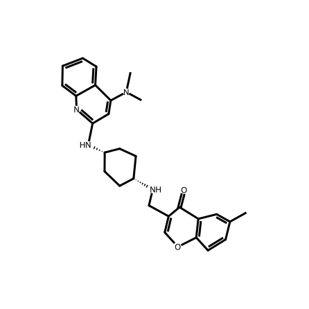 Cc1ccc2occ(CN[C@H]3CC[C@@H](Nc4cc(N(C)C)c5ccccc5n4)CC3)c(=O)c2c1